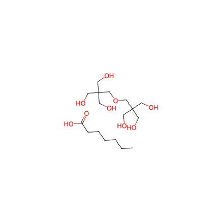 CCCCCCC(=O)O.OCC(CO)(CO)COCC(CO)(CO)CO